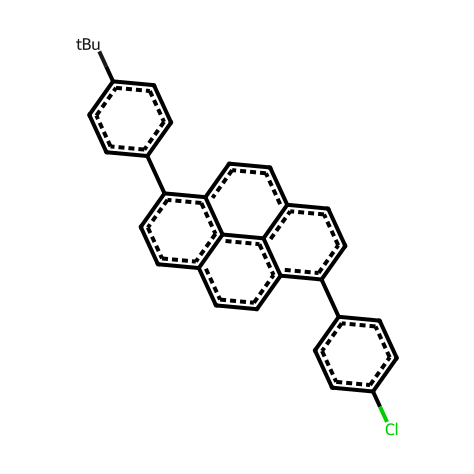 CC(C)(C)c1ccc(-c2ccc3ccc4c(-c5ccc(Cl)cc5)ccc5ccc2c3c54)cc1